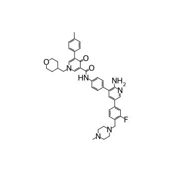 Cc1ccc(-c2cn(CC3CCOCC3)cc(C(=O)Nc3ccc(-c4cc(-c5ccc(CN6CCN(C)CC6)c(F)c5)cnc4N)cc3)c2=O)cc1